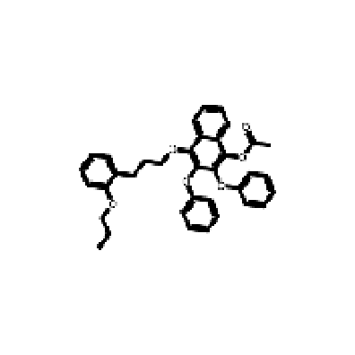 CCCOc1ccccc1CCCOc1c(Oc2ccccc2)c(Oc2ccccc2)c(OC(C)=O)c2ccccc12